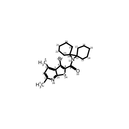 Cc1cc(C)c2c(Br)c(C(=O)N3C4(CCCCC4)C34CCCCC4)sc2n1